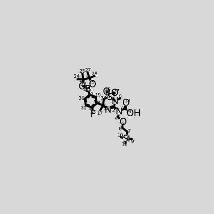 CN1C(N(COCC[Si](C)(C)C)C(=O)O)=NC(C)(c2cc(B3OC(C)(C)C(C)(C)O3)ccc2F)CS1(=O)=O